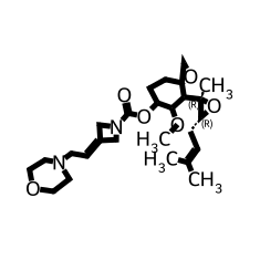 COC1C(OC(=O)N2CC(=CCN3CCOCC3)C2)CCC2(CO2)C1[C@@]1(C)O[C@@H]1CC=C(C)C